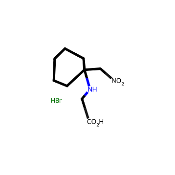 Br.O=C(O)CNC1(C[N+](=O)[O-])CCCCC1